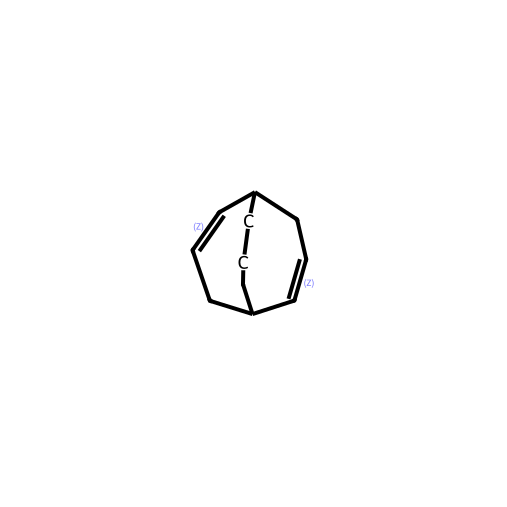 C1=C\C2C/C=C\C(C/1)CCC2